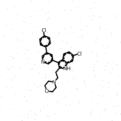 Clc1ccc(-c2cncc(-c3c(CCN4CCOCC4)[nH]c4cc(Cl)ccc34)c2)cc1